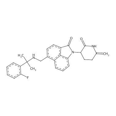 C=C1CCC(N2C(=O)c3ccc(CNC(C)(C)c4ccccc4F)c4cccc2c34)C(=O)N1